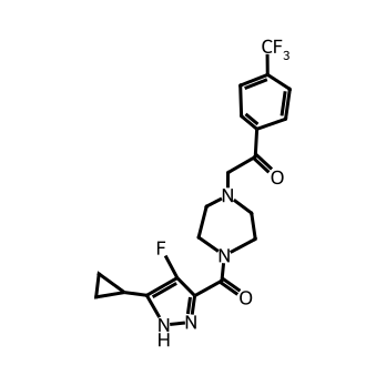 O=C(CN1CCN(C(=O)c2n[nH]c(C3CC3)c2F)CC1)c1ccc(C(F)(F)F)cc1